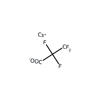 O=C([O-])C(F)(F)C(F)(F)F.[Cs+]